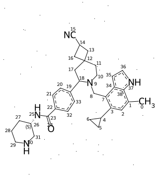 Cc1cc(C2CC2)c(CN2CCC3(CC(C#N)C3)CC2c2ccc(C(=O)N[C@H]3CCCNC3)cc2)c2cc[nH]c12